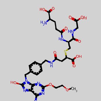 COCCOc1nc(N)c2nc(O)n(Cc3ccc(CNC(=O)CC(SCC(NC(=O)CCC(N)C(=O)O)C(=O)NCC(=O)O)C(=O)O)cc3)c2n1